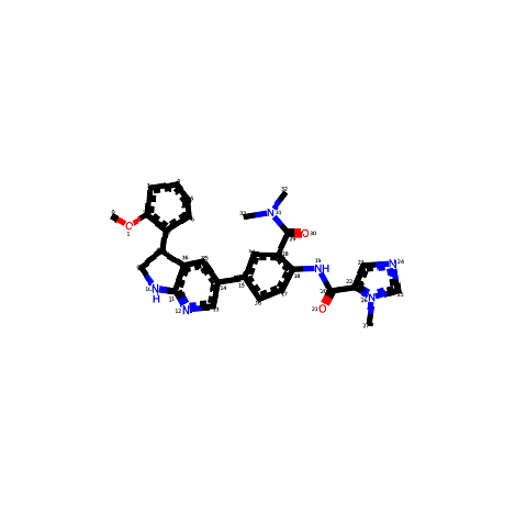 COc1ccccc1C1CNc2ncc(-c3ccc(NC(=O)c4cncn4C)c(C(=O)N(C)C)c3)cc21